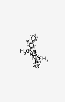 CS/C(=N\c1nc(C(C)c2ccc(-c3ccccc3)c(F)c2)ns1)N1CCOCC1